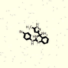 Cc1cc(C2(N)NC(Nc3ccc(Br)cc3)=Nc3ccccc32)n[nH]1